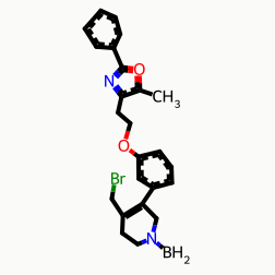 BN1CCC(CBr)=C(c2cccc(OCCc3nc(-c4ccccc4)oc3C)c2)C1